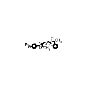 CCOc1ccc(-c2nc(CSCC(=O)NC(C)c3ccccc3)c(C)o2)cc1